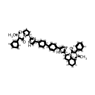 CN(C)[C@@H](C(=O)N1CCC[C@H]1c1nc(-c2ccc(-c3ccc(-c4cnc([C@@H]5CC6CCCCC6N5C(=O)[C@@H](c5ccccc5)N(C)C)[nH]4)cc3)cc2)c[nH]1)c1ccccc1